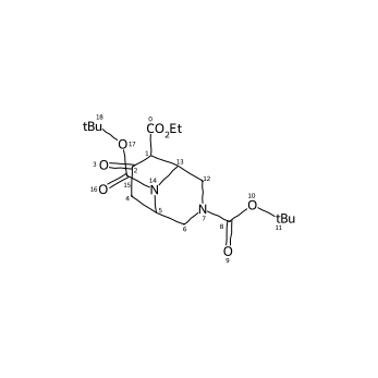 CCOC(=O)C1C(=O)CC2CN(C(=O)OC(C)(C)C)CC1N2C(=O)OC(C)(C)C